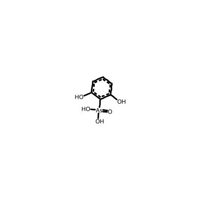 O=[As](O)(O)c1c(O)cccc1O